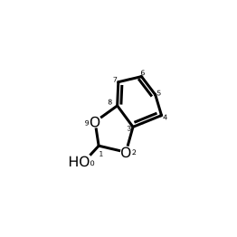 OC1Oc2ccccc2O1